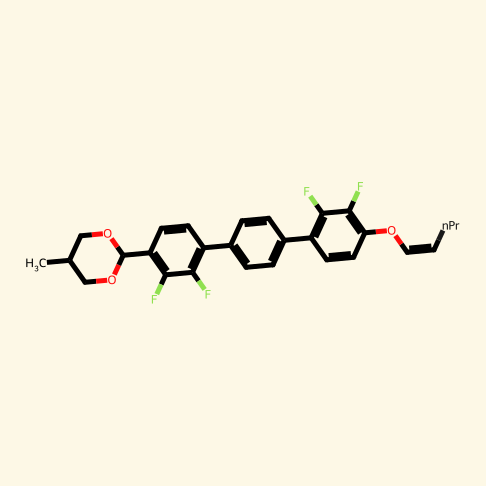 CCC/C=C\Oc1ccc(-c2ccc(-c3ccc(C4OCC(C)CO4)c(F)c3F)cc2)c(F)c1F